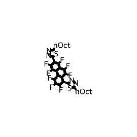 CCCCCCCCc1nnc(-c2c(F)c(F)c3c(c2F)c(F)c(F)c2c(-c4nnc(CCCCCCCC)s4)c(F)c(F)c(F)c23)s1